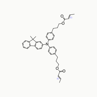 C/C=C/C(=O)OCCCc1ccc(N(c2ccc(CCCOC(=O)/C=C/C)cc2)c2ccc3c(c2)C(C)(C)c2ccccc2-3)cc1